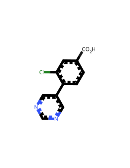 O=C(O)c1ccc(-c2cncnc2)c(Cl)c1